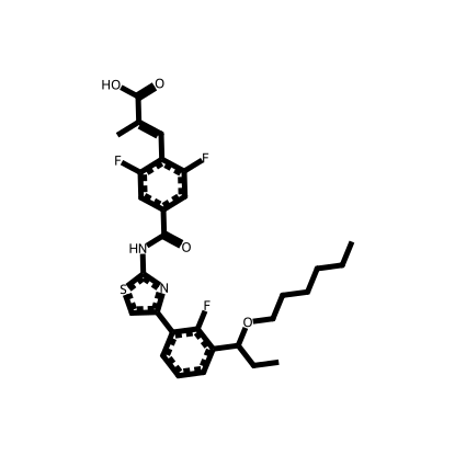 CCCCCCOC(CC)c1cccc(-c2csc(NC(=O)c3cc(F)c(C=C(C)C(=O)O)c(F)c3)n2)c1F